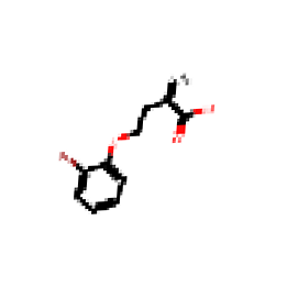 C=C(CCOc1ccccc1Br)C(=O)O